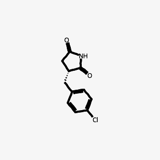 O=C1C[C@@H](Cc2ccc(Cl)cc2)C(=O)N1